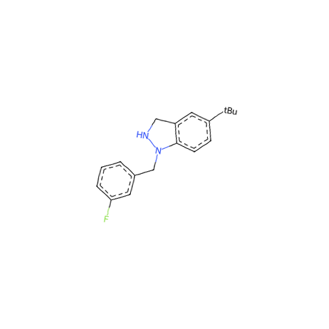 CC(C)(C)c1ccc2c(c1)CNN2Cc1cccc(F)c1